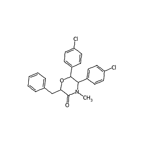 CN1C(=O)C(Cc2ccccc2)OC(c2ccc(Cl)cc2)C1c1ccc(Cl)cc1